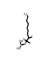 OB(O)OC(F)(F)C(F)CCCCCCC(F)(F)F